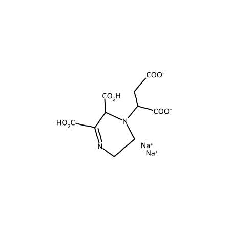 O=C([O-])CC(C(=O)[O-])N1CCN=C(C(=O)O)C1C(=O)O.[Na+].[Na+]